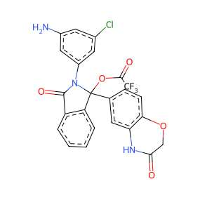 Nc1cc(Cl)cc(N2C(=O)c3ccccc3C2(OC(=O)C(F)(F)F)c2ccc3c(c2)NC(=O)CO3)c1